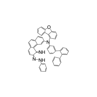 N=C1/C(=N\Nc2ccccc2)C=Cc2ccc3ccc(N(c4cccc(-c5ccccc5-c5ccccc5)c4)c4cccc5oc6ccccc6c45)cc3c21